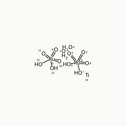 O.O.[O]=[Ru](=[O])(=[O])([OH])[OH].[O]=[Ru](=[O])(=[O])([OH])[OH].[Ti]